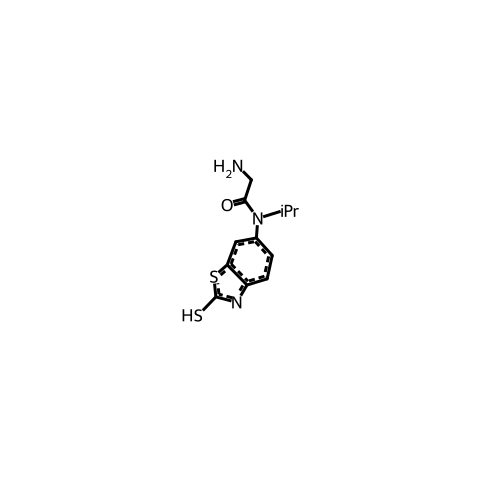 CC(C)N(C(=O)CN)c1ccc2nc(S)sc2c1